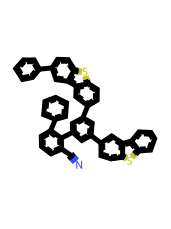 N#Cc1cccc(-c2ccccc2)c1-c1cc(-c2ccc3sc4ccccc4c3c2)cc(-c2ccc3sc4ccc(-c5ccccc5)cc4c3c2)c1